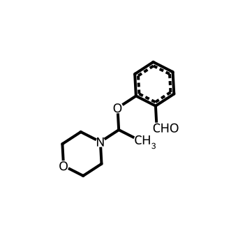 CC(Oc1ccccc1C=O)N1CCOCC1